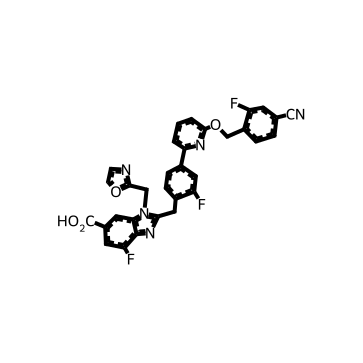 N#Cc1ccc(COc2cccc(-c3ccc(Cc4nc5c(F)cc(C(=O)O)cc5n4Cc4ncco4)c(F)c3)n2)c(F)c1